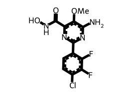 COc1c(N)nc(-c2ccc(Cl)c(F)c2F)nc1C(=O)NO